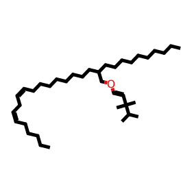 CCCCC/C=C\C/C=C\CCCCCCCCC(CCCCCCCCCC)CO/C=C/C(C)(C)C(C)C